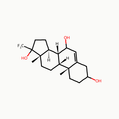 C[C@]12CCC(O)CC1=CC(O)[C@@H]1[C@H]2CC[C@@]2(C)[C@H]1CCC2(O)C(F)(F)F